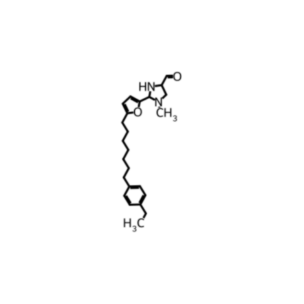 CCc1ccc(CCCCCCCc2ccc(C3NC(C=O)CN3C)o2)cc1